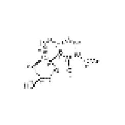 COc1ccc2c3c1OC1C[C@@H](O)C=C[C@@]31CCNC2